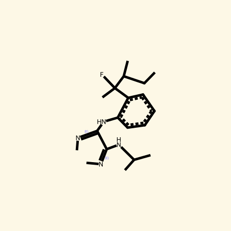 CCC(C)C(C)(F)c1ccccc1NC(=N/C)/C(=N\C)NC(C)C